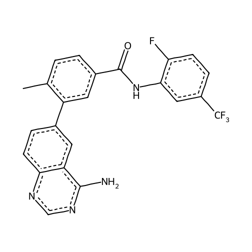 Cc1ccc(C(=O)Nc2cc(C(F)(F)F)ccc2F)cc1-c1ccc2ncnc(N)c2c1